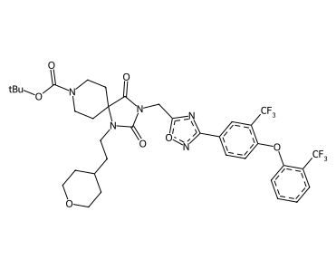 CC(C)(C)OC(=O)N1CCC2(CC1)C(=O)N(Cc1nc(-c3ccc(Oc4ccccc4C(F)(F)F)c(C(F)(F)F)c3)no1)C(=O)N2CCC1CCOCC1